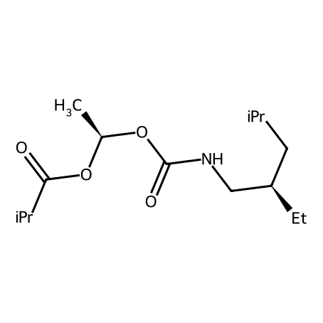 CC[C@@H](CNC(=O)O[C@H](C)OC(=O)C(C)C)CC(C)C